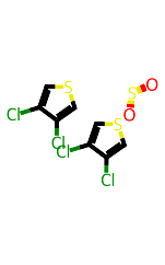 Clc1cscc1Cl.Clc1cscc1Cl.O=S=O